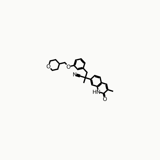 Cc1cc2ccc(C(C)(C#N)Cc3cccc(OCC4CCOCC4)c3)cc2[nH]c1=O